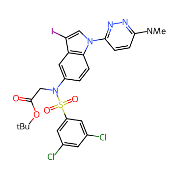 CNc1ccc(-n2cc(I)c3cc(N(CC(=O)OC(C)(C)C)S(=O)(=O)c4cc(Cl)cc(Cl)c4)ccc32)nn1